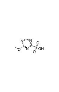 COc1n[c]nc(S(=O)(=O)O)n1